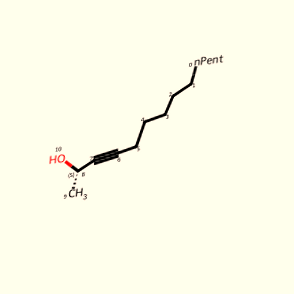 CCCCCCCCCCC#C[C@H](C)O